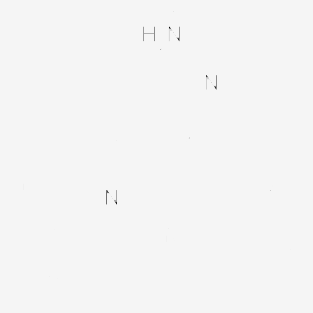 C/C=C\C1=C(N(C)N)CN(C(C)C)C1